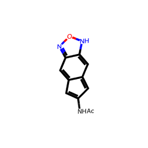 CC(=O)Nc1cc2cc3no[nH]c3cc2c1